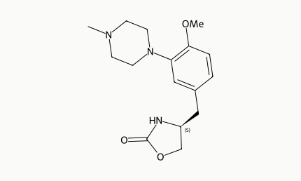 COc1ccc(C[C@H]2COC(=O)N2)cc1N1CCN(C)CC1